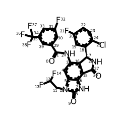 O=C(Nc1cc2c([nH]c(=O)n2CC(F)F)c2c1[C@@H](c1cc(F)ccc1Cl)NC2=O)c1cc(F)cc(C(F)(F)F)c1